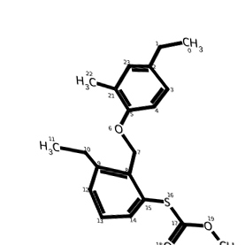 CCc1ccc(OCc2c(CC)cccc2SC(=O)OC)c(C)c1